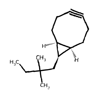 CCC(C)(C)C[C@@H]1[C@@H]2CCC#CCC[C@@H]21